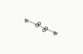 O=C(CCCCC(=O)OCCCCCCBr)OCCCCCCBr